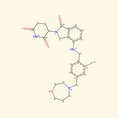 O=C1CCC(N2Cc3c(NCc4ccc(CN5CCCOCC5)cc4F)cccc3C2=O)C(=O)N1